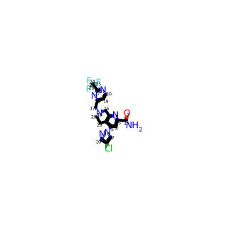 NC(=O)c1cc(-n2cc(Cl)cn2)c2c(n1)CN(Cc1ccnc(C(F)(F)F)n1)CC2